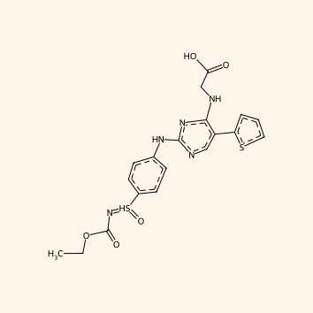 CCOC(=O)N=[SH](=O)c1ccc(Nc2ncc(-c3cccs3)c(NCC(=O)O)n2)cc1